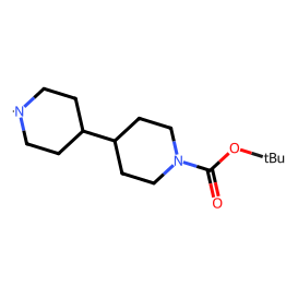 CC(C)(C)OC(=O)N1CCC(C2CC[N]CC2)CC1